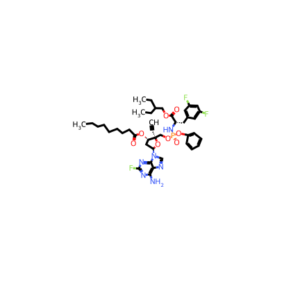 C#C[C@]1(CO[P@@](=O)(N[C@@H](Cc2cc(F)cc(F)c2)C(=O)OCC(CC)CC)Oc2ccccc2)O[C@@H](n2cnc3c(N)nc(F)nc32)C[C@@H]1OC(=O)CCCCCCCC